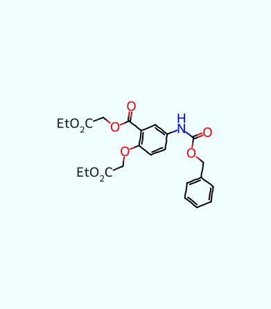 CCOC(=O)COC(=O)c1cc(NC(=O)OCc2ccccc2)ccc1OCC(=O)OCC